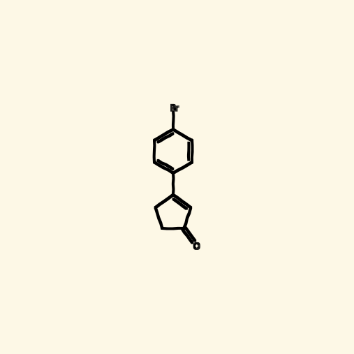 O=C1C=C(c2ccc(Br)cc2)CC1